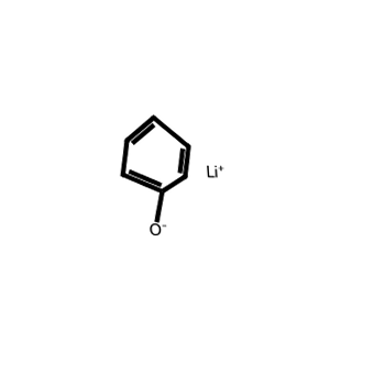 [Li+].[O-]c1ccccc1